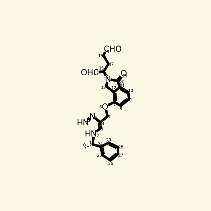 C[C@H](N/C=C(/COc1cccc2c1CN(C(C=O)CCC=O)C2=O)N=N)c1ccccc1